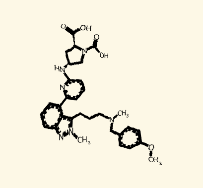 COc1ccc(CN(C)CCCc2c3c(-c4cccc(N[C@H]5C[C@@H](C(=O)O)N(C(=O)O)C5)n4)cccc3nn2C)cc1